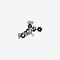 N[C@@H](CC(=O)N1C[C@H](O)C[C@H]1C1=N[C@@H](c2ccccc2)CO1)CN1CC(F)(F)CCC1=O